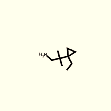 CCC1(C(C)(C)CN)CC1